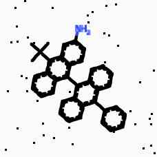 CC(C)(C)c1c2ccccc2c(-c2c3ccccc3c(-c3ccccc3)c3ccccc23)c2ccc(N)cc12